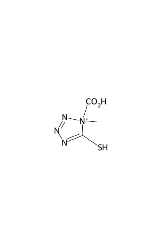 C[N+]1(C(=O)O)N=NN=C1S